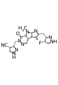 Cn1c2nc(Cc3n[nH]cc3F)sc2c2cnn(Cc3n[nH]cc3C#N)c(=O)c21